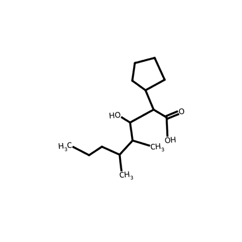 CCCC(C)C(C)C(O)C(C(=O)O)C1CCCC1